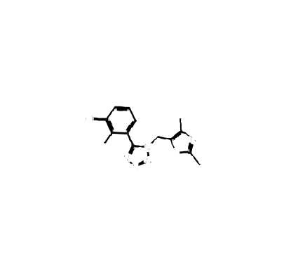 Cc1nc(C)c(Cn2nnnc2-c2cccc(Cl)c2Cl)s1